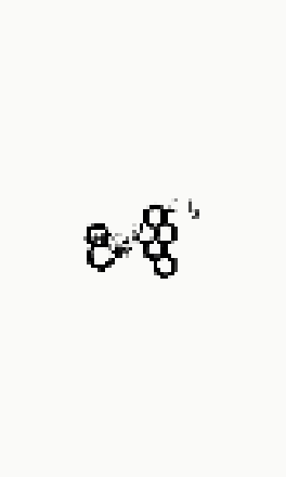 C1=CNc2ccccc2C=C1.COC(=O)C1C=c2ccccc2=c2ccc3c(c21)CCCC=3C